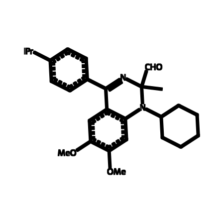 COc1cc2c(cc1OC)N(C1CCCCC1)C(C)(C=O)N=C2c1ccc(C(C)C)cc1